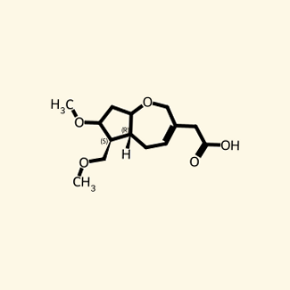 COC[C@H]1C(OC)CC2OCC(CC(=O)O)=CC[C@@H]21